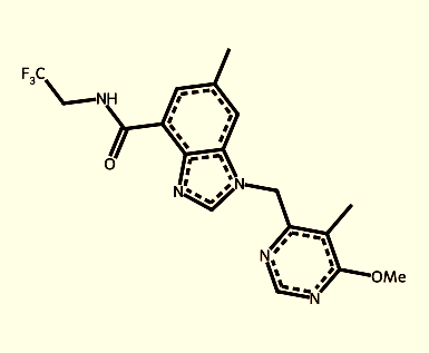 COc1ncnc(Cn2cnc3c(C(=O)NCC(F)(F)F)cc(C)cc32)c1C